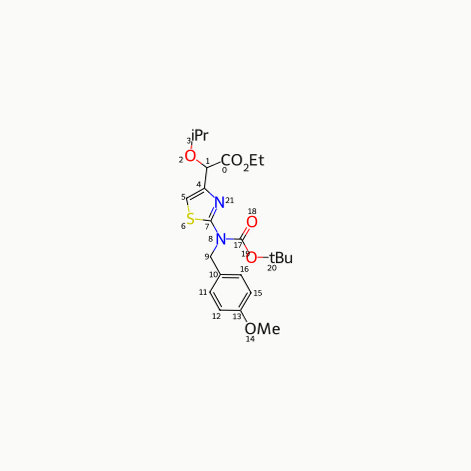 CCOC(=O)C(OC(C)C)c1csc(N(Cc2ccc(OC)cc2)C(=O)OC(C)(C)C)n1